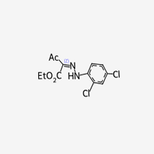 CCOC(=O)/C(=N\Nc1ccc(Cl)cc1Cl)C(C)=O